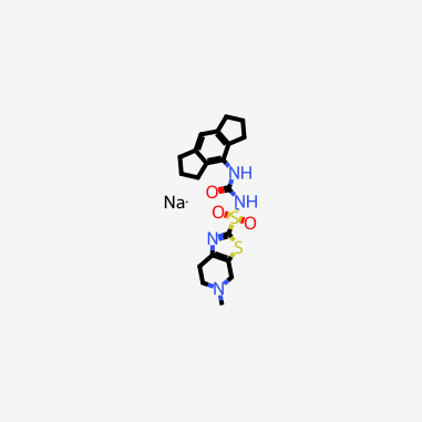 CN1CCc2nc(S(=O)(=O)NC(=O)Nc3c4c(cc5c3CCC5)CCC4)sc2C1.[Na]